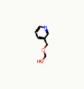 OCOCc1cccnc1